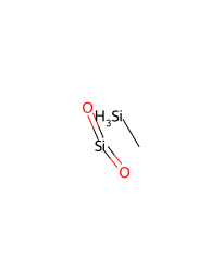 C[SiH3].O=[Si]=O